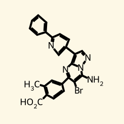 Cc1cc(-c2nc3c(-c4ccc(-c5ccccc5)nc4)cnn3c(N)c2Br)ccc1C(=O)O